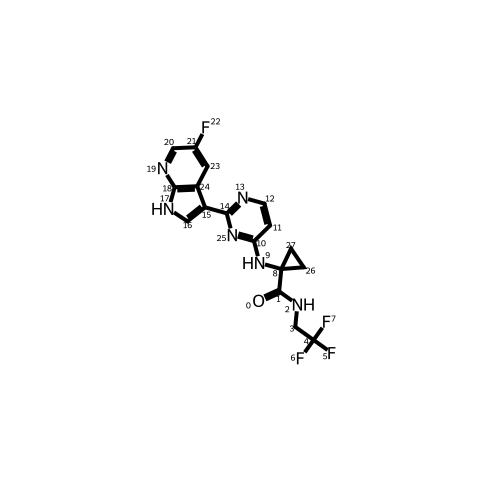 O=C(NCC(F)(F)F)C1(Nc2ccnc(-c3c[nH]c4ncc(F)cc34)n2)CC1